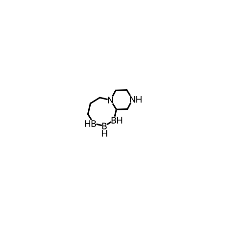 B1BCCCN2CCNCC2B1